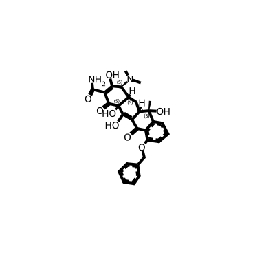 CN(C)[C@@H]1C(O)=C(C(N)=O)C(=O)[C@@]2(O)C(O)=C3C(=O)c4c(OCc5ccccc5)cccc4[C@@](C)(O)[C@H]3C[C@@H]12